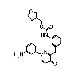 Nc1cccc(-n2ccc(=O)c(Cc3cccc(NC(=O)OCC4CCOC4)c3)n2)c1